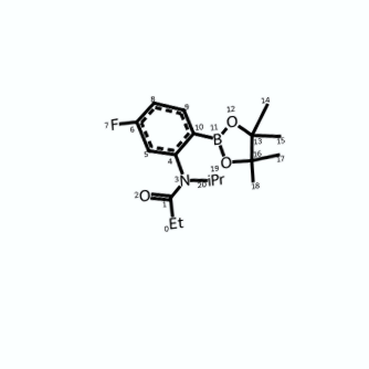 CCC(=O)N(c1cc(F)ccc1B1OC(C)(C)C(C)(C)O1)C(C)C